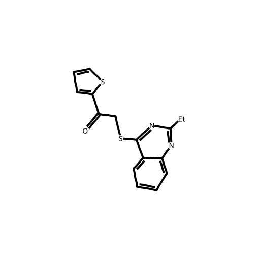 CCc1nc(SCC(=O)c2cccs2)c2ccccc2n1